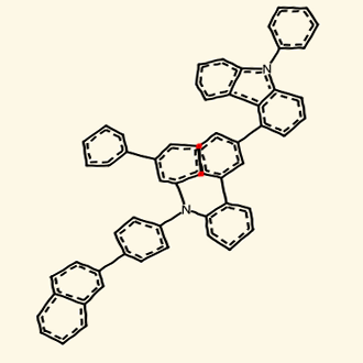 c1ccc(-c2cccc(N(c3ccc(-c4ccc5ccccc5c4)cc3)c3ccccc3-c3cccc(-c4cccc5c4c4ccccc4n5-c4ccccc4)c3)c2)cc1